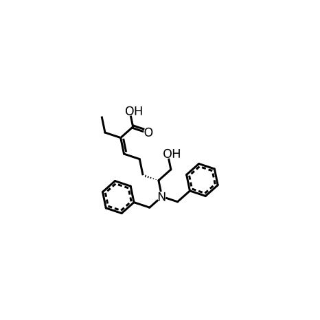 CCC(=CCC[C@H](CO)N(Cc1ccccc1)Cc1ccccc1)C(=O)O